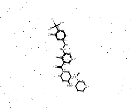 CO[C@@H]1COCC[C@@H]1NC1CCN(C(=O)c2cncc(NCc3ccc(C(F)(F)F)c(Cl)c3)c2C)CC1